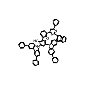 N#Cc1c(-n2c3ccc(-c4ccccc4)cc3c3cc(-c4ccccc4)ccc32)cc(-n2c3ccc(-c4ccccc4)cc3c3cc(-c4ccccc4)ccc32)c2oc3c(-c4cc(-c5ccccc5)nc(-c5ccccc5)n4)cccc3c12